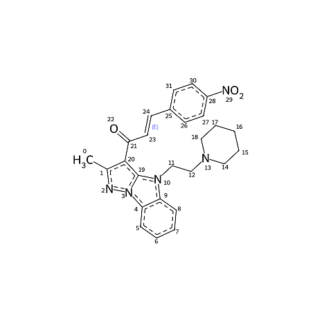 Cc1nn2c3ccccc3n(CCN3CCCCC3)c2c1C(=O)/C=C/c1ccc([N+](=O)[O-])cc1